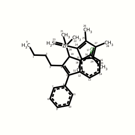 CCCCC1=C(c2ccccc2)c2cccc(Cl)c2[CH]1[Zr]([CH3])([CH3])(=[SiH2])[C]1=C(C)C(C)=C(C)C1C